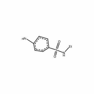 [CH2]CCc1ccc(S(=O)(=O)NCC)cc1